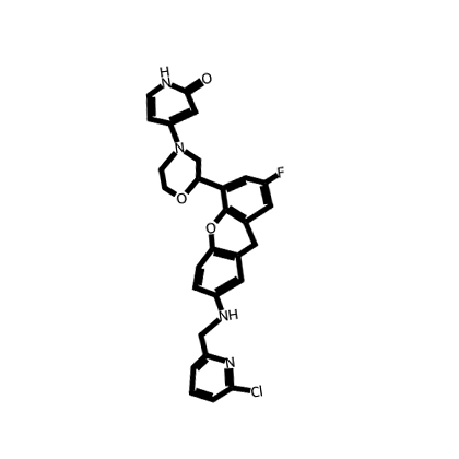 O=c1cc(N2CCOC(c3cc(F)cc4c3Oc3ccc(NCc5cccc(Cl)n5)cc3C4)C2)cc[nH]1